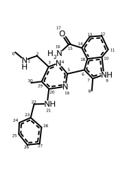 CNCc1nc(-c2c(C)[nH]c3cccc(C(N)=O)c23)nc(NCc2ccccc2)c1C